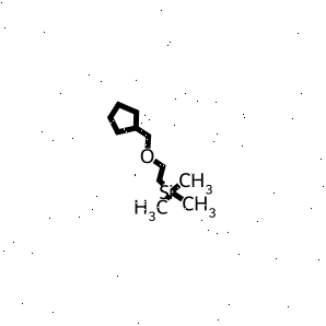 C[Si](C)(C)CCOCC1CCCC1